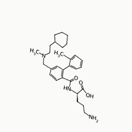 Cc1ccccc1-c1cc(CN(C)CCC2CCCCC2)ccc1C(=O)N[C@H](CCCN)C(=O)O